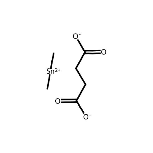 O=C([O-])CCC(=O)[O-].[CH3][Sn+2][CH3]